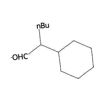 CCCCC([C]=O)C1CCCCC1